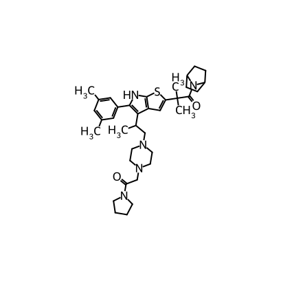 Cc1cc(C)cc(-c2[nH]c3sc(C(C)(C)C(=O)N4C5CCC4CC5)cc3c2C(C)CN2CCN(CC(=O)N3CCCC3)CC2)c1